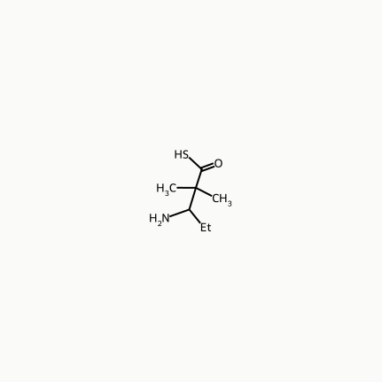 CCC(N)C(C)(C)C(=O)S